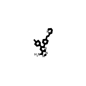 Cc1ccc(-c2cc3c(N)ncnc3nc2-c2ccc(C=Cc3ccccn3)cc2)cc1